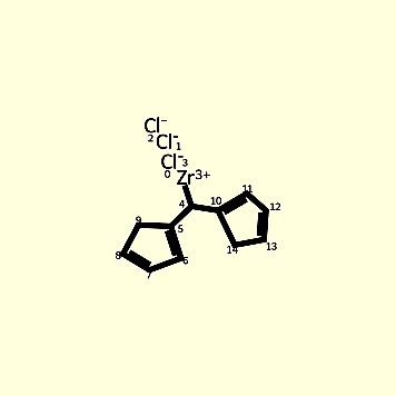 [Cl-].[Cl-].[Cl-].[Zr+3][CH](C1=CC=CC1)C1=CC=CC1